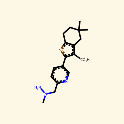 CN(N)Cc1ccc(-c2sc3c(c2C(=O)O)CC(C)(C)CC3)cn1